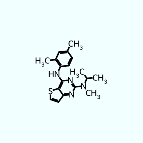 Cc1ccc(Nc2nc(N(C)C(C)C)nc3ccsc23)c(C)c1